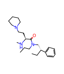 CCCN(C[C@@H](CC)c1ccccc1)C(=O)[C@H](CCN1CCCCC1)NC